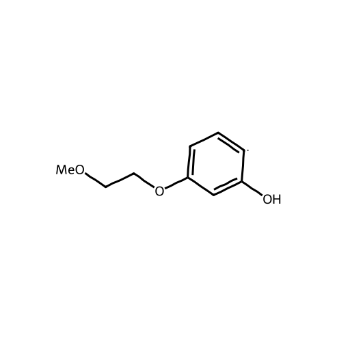 COCCOc1cc[c]c(O)c1